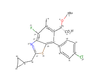 Cc1c([C@H](OC(C)(C)C)C(=O)O)c(-c2ccc(Cl)cc2)c2sc(CC3CC3)nc2c1F